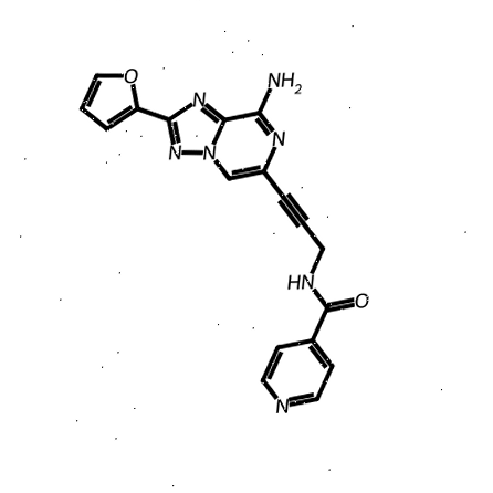 Nc1nc(C#CCNC(=O)c2ccncc2)cn2nc(-c3ccco3)nc12